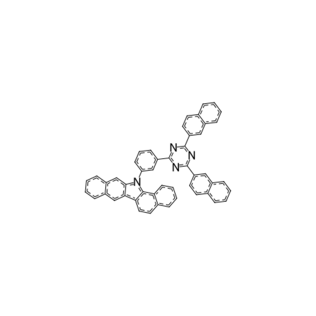 c1cc(-c2nc(-c3ccc4ccccc4c3)nc(-c3ccc4ccccc4c3)n2)cc(-n2c3cc4ccccc4cc3c3ccc4ccccc4c32)c1